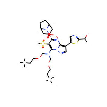 CC(O)c1ncc(-c2cnn3c(N(COCC[Si](C)(C)C)COCC[Si](C)(C)C)c(S(C)(=O)=O)c([C@H]4C[C@H]5CC[C@@H](C4)N5C(=O)OC(C)(C)C)nc23)s1